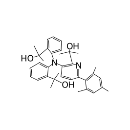 Cc1cc(C)c(-c2ccc(N(c3ccccc3C(C)(C)O)c3ccccc3C(C)(C)O)c(C(C)(C)O)n2)c(C)c1